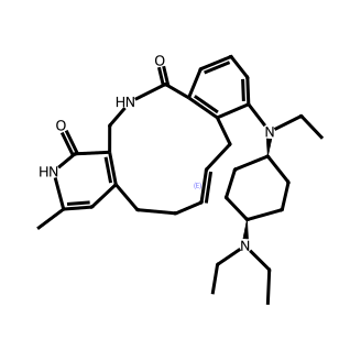 CCN(CC)[C@H]1CC[C@@H](N(CC)c2cccc3c2C/C=C/CCc2cc(C)[nH]c(=O)c2CNC3=O)CC1